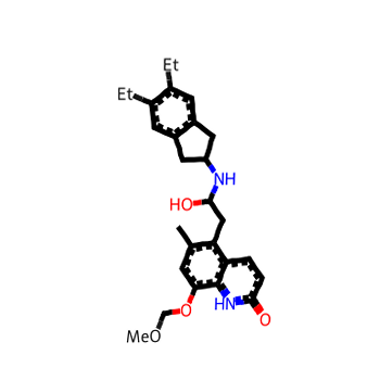 CCc1cc2c(cc1CC)CC(NC(O)Cc1c(C)cc(OCOC)c3[nH]c(=O)ccc13)C2